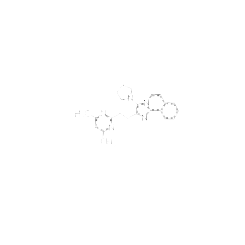 Cc1cc(C)nc(CCc2nc3c4ccccc4ccn3c2N2CCCC2)n1